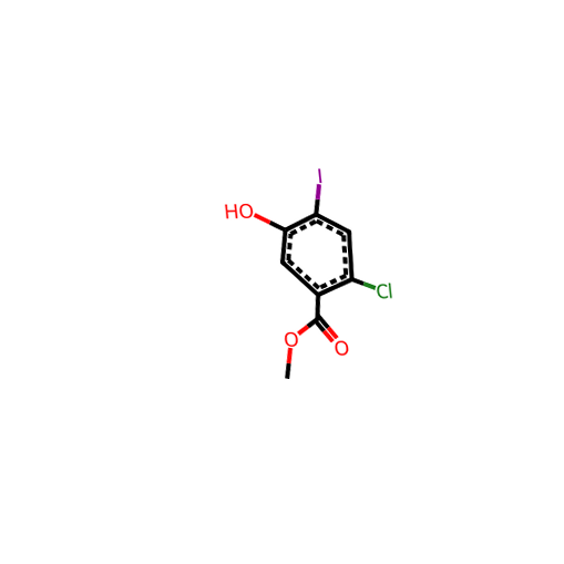 COC(=O)c1cc(O)c(I)cc1Cl